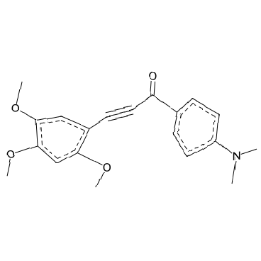 COc1cc(OC)c(OC)cc1C#CC(=O)c1ccc(N(C)C)cc1